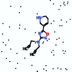 C#CCN(CC#C)c1noc(C2=CCCNC2)n1